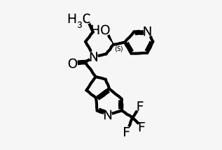 CCCN(C[C@@H](O)c1cccnc1)C(=O)C1Cc2cnc(C(F)(F)F)cc2C1